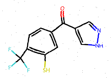 O=C(c1cn[nH]c1)c1ccc(C(F)(F)F)c(S)c1